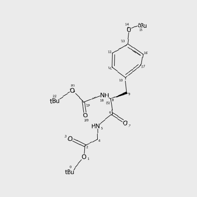 CC(C)(C)OC(=O)CNC(=O)[C@H](Cc1ccc(OC(C)(C)C)cc1)NC(=O)OC(C)(C)C